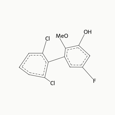 COc1c(O)cc(F)cc1-c1c(Cl)cccc1Cl